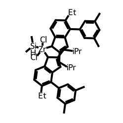 CCc1ccc2c(c1-c1cc(C)cc(C)c1)C=C(CC(C)C)[CH]2[Zr]([Cl])([Cl])([CH]1C(CC(C)C)=Cc2c1ccc(CC)c2-c1cc(C)cc(C)c1)[SiH](C)C